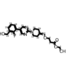 CCOC(=O)CCON=C1CCN(c2ncc(-c3cccc(CO)c3F)cn2)CC1